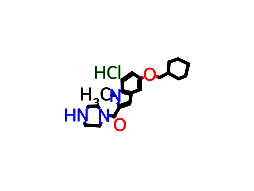 Cl.Cn1c(C(=O)N2CCNCC2)cc2cc(OCC3CCCCC3)ccc21